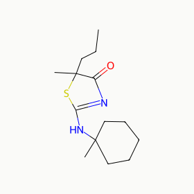 CCCC1(C)SC(NC2(C)CCCCC2)=NC1=O